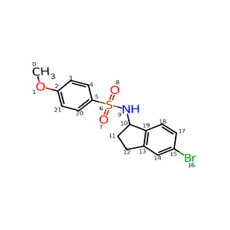 COc1ccc(S(=O)(=O)NC2CCc3cc(Br)ccc32)cc1